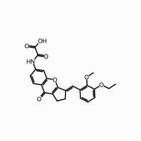 CCOc1cccc(C=C2CCc3c2oc2cc(NC(=O)C(=O)O)ccc2c3=O)c1OC